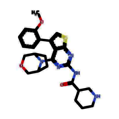 COc1ccccc1-c1csc2nc(NC(=O)C3CCCNC3)nc(N3C4CCC3COC4)c12